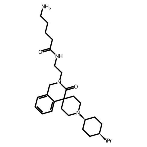 CC(C)[C@H]1CC[C@@H](N2CCC3(CC2)C(=O)N(CCNC(=O)CCCCN)Cc2ccccc23)CC1